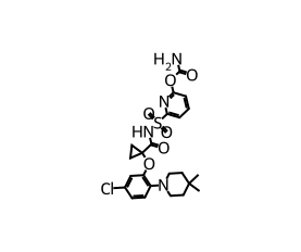 CC1(C)CCN(c2ccc(Cl)cc2OC2(C(=O)NS(=O)(=O)c3cccc(OC(N)=O)n3)CC2)CC1